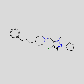 Cn1c(CN2CCC(CCCc3ccccc3)CC2)c(Cl)c(=O)n1C1CCCC1